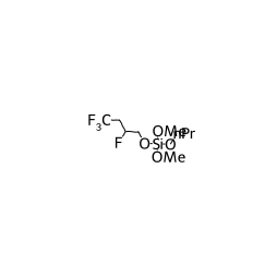 CCCO[Si](OC)(OC)OCC(F)CC(F)(F)F